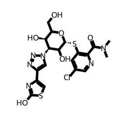 CN(C)C(=O)c1ncc(Cl)cc1S[C@H]1OC(CO)[C@H](O)[C@H](n2cc(-c3csc(O)n3)nn2)C1O